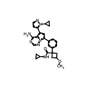 COC1CC(C(=O)NC2CC2)(c2cccc(-c3cc(-c4ccnn4C4CC4)c4c(N)ncnn34)c2)C1